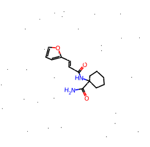 NC(=O)C1(NC(=O)/C=C/c2ccco2)CCCCC1